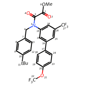 COC(=O)C(=O)N(Cc1ccc(C(C)(C)C)cc1)c1cc(-c2ccc(OC(F)(F)F)cc2)cc(C(F)(F)F)c1